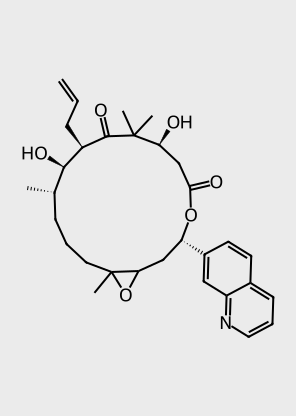 C=CC[C@H]1C(=O)C(C)(C)[C@@H](O)CC(=O)O[C@H](c2ccc3cccnc3c2)CC2OC2(C)CCC[C@H](C)[C@H]1O